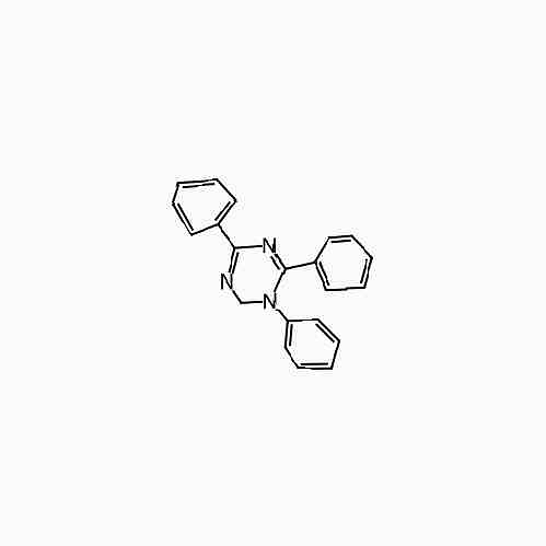 c1ccc(C2=NCN(c3ccccc3)C(c3ccccc3)=N2)cc1